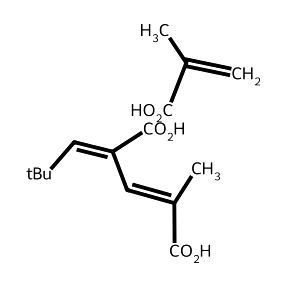 C=C(C)C(=O)O.CC(=CC(=CC(C)(C)C)C(=O)O)C(=O)O